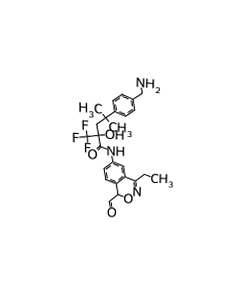 CCC1=NOC(C=O)c2ccc(NC(=O)C(O)(CC(C)(C)c3ccc(CN)cc3)C(F)(F)F)cc21